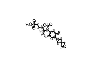 O=C1O[C@H](CCS(=O)(=O)O)[C@@H]2COc3cc(N4CC5(COC5)C4)c(F)cc3N12